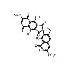 COC1=CC(=O)c2c(O)c3c(c(O)c2C1=O)C(=O)[C@]1(CCc2cc4cc(C(=O)O)[nH]c(=O)c4c(O)c21)C3=O